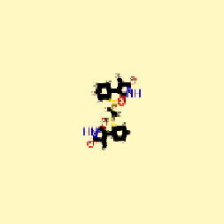 CC1=C(c2ccccc2SCCSc2ccccc2C2=C(C)C(=O)NC2=O)C(=O)NC1=O